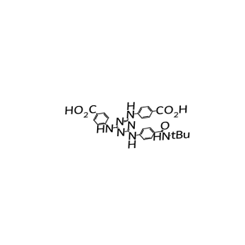 CC(C)(C)NC(=O)c1ccc(Nc2nc(Nc3ccc(C(=O)O)cc3)nc(Nc3ccc(C(=O)O)cc3)n2)cc1